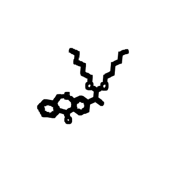 CCCCCCOC(OCCCCCC)C(C)c1ccc2c(c1)SCc1ccccc1C2=O